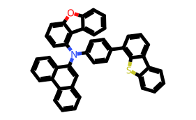 c1ccc2c(c1)cc(N(c1ccc(-c3cccc4c3sc3ccccc34)cc1)c1cccc3oc4ccccc4c13)c1ccccc12